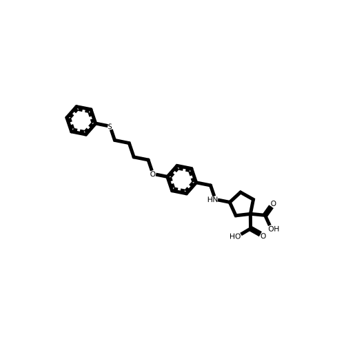 O=C(O)C1(C(=O)O)CCC(NCc2ccc(OCCCCSc3ccccc3)cc2)C1